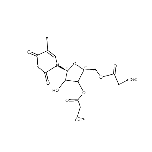 CCCCCCCCCCCC(=O)OC[C@@H]1O[C@H](n2cc(F)c(=O)[nH]c2=O)C(O)C1OC(=O)CCCCCCCCCCC